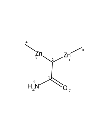 [CH3][Zn][CH]([Zn][CH3])C(N)=O